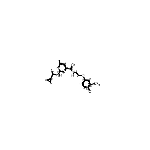 Cc1cc(C(=O)NCCOc2ccc(Cl)c(C(F)(F)F)c2)nc(NC(=O)C2CC2)n1